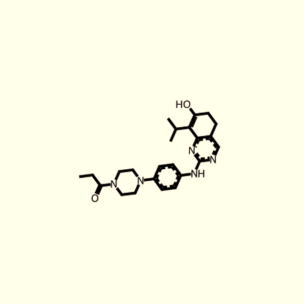 CCC(=O)N1CCN(c2ccc(Nc3ncc4c(n3)C(C(C)C)=C(O)CC4)cc2)CC1